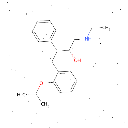 CCNC[C@H](O)C(Cc1ccccc1OC(C)C)c1ccccc1